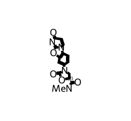 CNC(=O)[C@H]1CN(c2ccc3c(c2)oc2nc(=O)ccn23)C(=O)O1